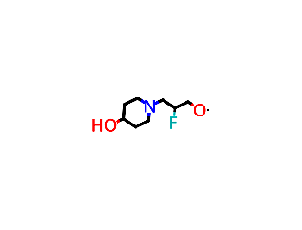 [O]CC(F)CN1CCC(O)CC1